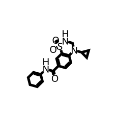 O=C(NC1=CCCC=C1)c1ccc2c(c1)S(=O)(=O)NCN2C1CC1